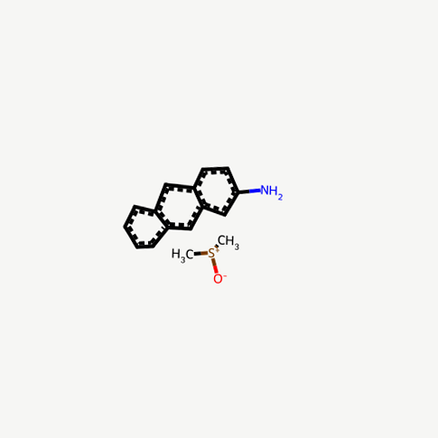 C[S+](C)[O-].Nc1ccc2cc3ccccc3cc2c1